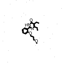 CCc1nc(-c2ccccc2OCCCOC)[nH]c(=O)c1CC